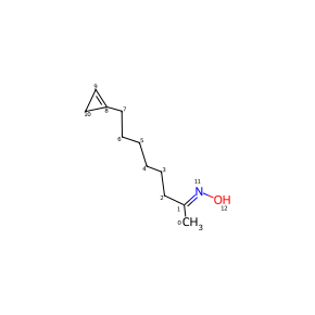 CC(CCCCCCC1=CC1)=NO